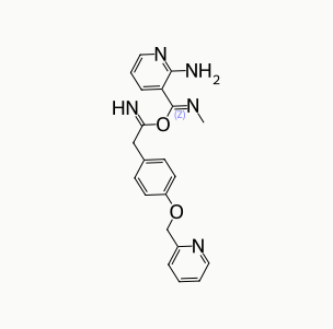 C/N=C(\OC(=N)Cc1ccc(OCc2ccccn2)cc1)c1cccnc1N